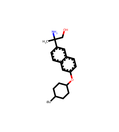 CCC(C)C1CCC(Oc2ccc3cc(C(C)(N)CO)ccc3c2)CC1